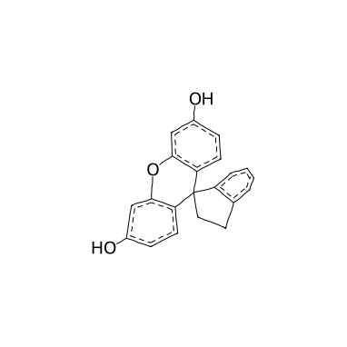 Oc1ccc2c(c1)Oc1cc(O)ccc1C21CCc2ccccc21